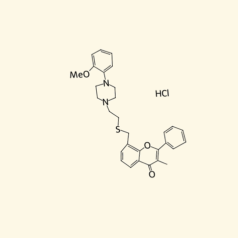 COc1ccccc1N1CCN(CCSCc2cccc3c(=O)c(C)c(-c4ccccc4)oc23)CC1.Cl